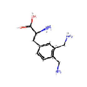 NCc1ccc(CC(N)C(=O)O)cc1CN